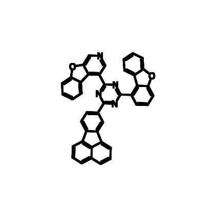 c1cc2c3c(cccc3c1)-c1cc(-c3nc(-c4cccc5oc6ccccc6c45)nc(-c4cncc5oc6ccccc6c45)n3)ccc1-2